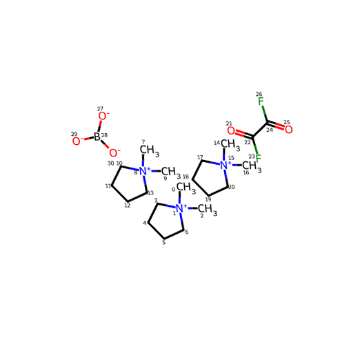 C[N+]1(C)CCCC1.C[N+]1(C)CCCC1.C[N+]1(C)CCCC1.O=C(F)C(=O)F.[O-]B([O-])[O-]